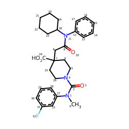 CN(C(=O)N1CCC(CC(=O)N(c2ccccc2)C2CCCCC2)(C(=O)O)CC1)c1cccc(F)c1